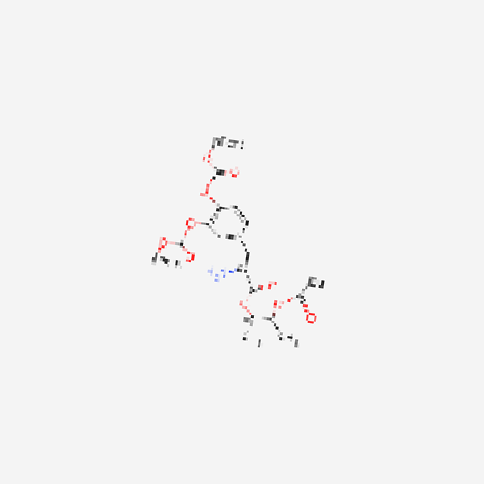 CCCCCOC(=O)Oc1ccc(C[C@H](N)C(=O)O[C@@H](C)C(C)OC(=O)C(C)CC)cc1OC(=O)OCCCCC